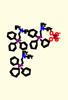 CC(C)N(CC[P+](c1ccccc1)(c1ccccc1)c1ccccc1)C(C)C.CC(C)N(CC[P+](c1ccccc1)(c1ccccc1)c1ccccc1)C(C)C.CC(C)N(CC[P+](c1ccccc1)(c1ccccc1)c1ccccc1)C(C)C.O=P([O-])([O-])[O-]